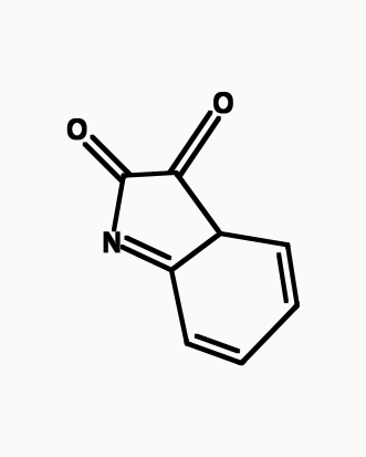 O=C1N=C2C=CC=CC2C1=O